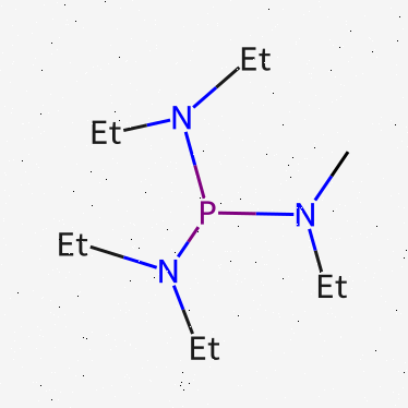 CCN(C)P(N(CC)CC)N(CC)CC